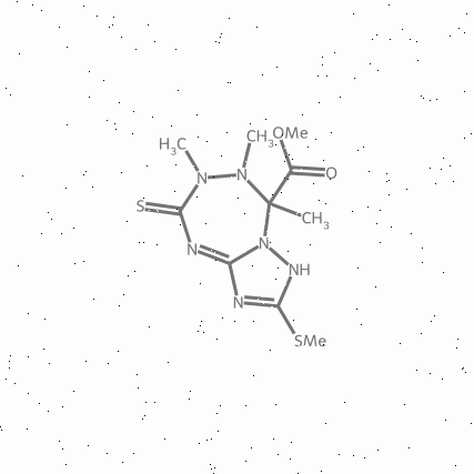 COC(=O)C1(C)N2NC(SC)=NC2=NC(=S)N(C)N1C